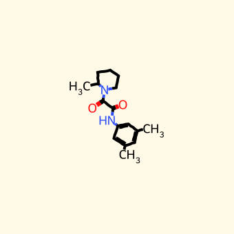 Cc1cc(C)cc(NC(=O)C(=O)N2CCCCC2C)c1